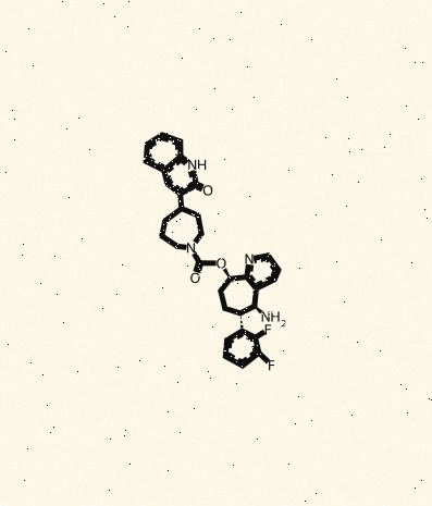 N[C@@H]1c2cccnc2[C@H](OC(=O)N2CCCC(c3cc4ccccc4[nH]c3=O)CC2)CC[C@H]1c1cccc(F)c1F